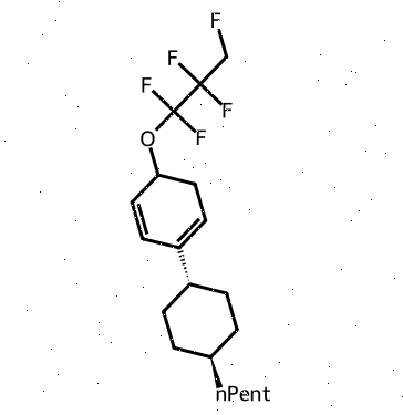 CCCCC[C@H]1CC[C@H](C2=CCC(OC(F)(F)C(F)(F)CF)C=C2)CC1